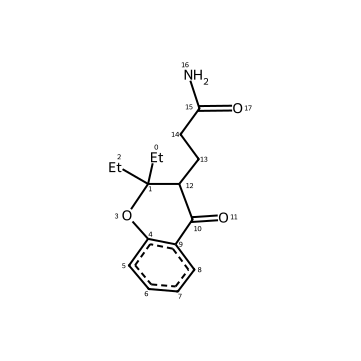 CCC1(CC)Oc2ccccc2C(=O)C1CCC(N)=O